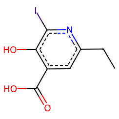 CCc1cc(C(=O)O)c(O)c(I)n1